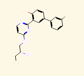 CC[C@H](N)CNc1ccnc(-c2cc(-c3cccc(Cl)c3)ccc2O)n1